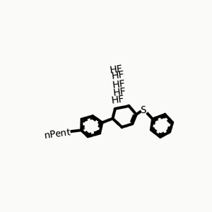 CCCCCc1ccc(C2CC=C(Sc3ccccc3)CC2)cc1.F.F.F.F.F